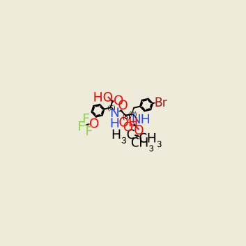 CC(C)(C)OC(=O)N[C@H](Cc1ccc(Br)cc1)[C@H](O)C(=O)N[C@H](C(=O)O)c1cccc(OC(F)(F)F)c1